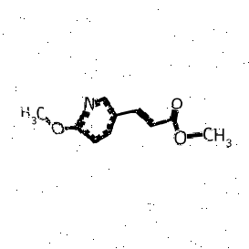 COC(=O)/C=C/c1ccc(OC)nc1